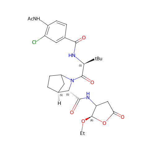 CCO[C@@H]1OC(=O)CC1NC(=O)[C@@H]1[C@H]2CCC(C2)N1C(=O)[C@@H](NC(=O)c1ccc(NC(C)=O)c(Cl)c1)C(C)(C)C